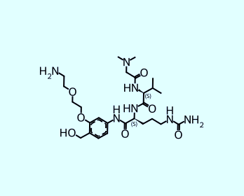 CC(C)[C@H](NC(=O)CN(C)C)C(=O)N[C@@H](CCCNC(N)=O)C(=O)Nc1ccc(CO)c(OCCOCCN)c1